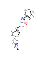 COc1ccc(-c2ccc(CCCC(=O)Nc3cccnc3)cc2)cn1